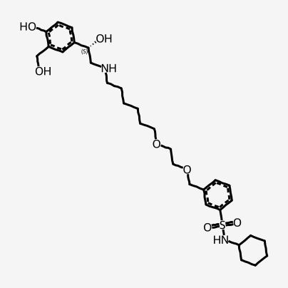 O=S(=O)(NC1CCCCC1)c1cccc(COCCOCCCCCCNC[C@@H](O)c2ccc(O)c(CO)c2)c1